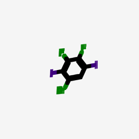 Fc1c(I)cc(Br)c(I)c1F